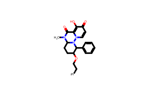 CC(C)CCOC1CCC2N(C)C(=O)c3c(O)c(=O)ccn3N2C1c1ccccc1